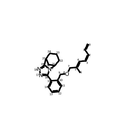 C=C/C=C\C=C(/C)COCc1ccccc1-c1nnc2n1C1CCCC2C1